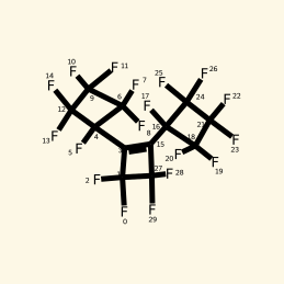 FC1(F)C(C2(F)C(F)(F)C(F)(F)C2(F)F)=C(C2(F)C(F)(F)C(F)(F)C2(F)F)C1(F)F